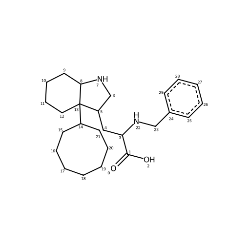 O=C(O)C(CC1CNC2CCCCC12C1CCCCCCC1)NCc1ccccc1